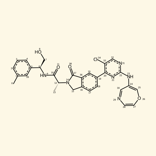 Cc1cccc([C@@H](CO)NC(=O)[C@@H](C)N2Cc3ccc(-c4nc(NC5=COC=CN=C5)ncc4Cl)cc3C2=O)c1